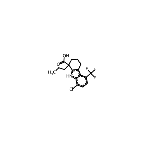 CCCC1(C(=O)O)CCCc2c1[nH]c1c(Cl)ccc(C(F)(F)F)c21